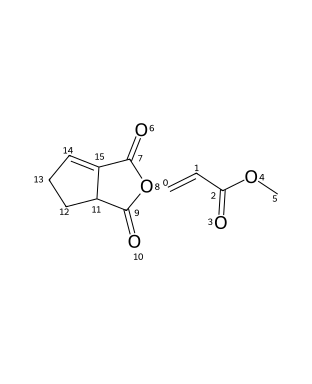 C=CC(=O)OC.O=C1OC(=O)C2CCC=C12